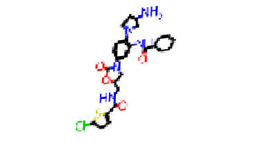 NC1CCN(c2ccc(N3CC(CNC(=O)C4=CCC(Cl)S4)OC3=O)cc2NC(=O)C2CCCCC2)C1